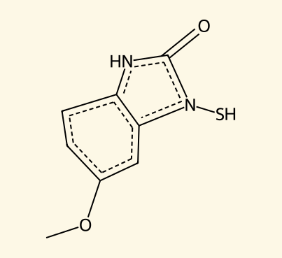 COc1ccc2[nH]c(=O)n(S)c2c1